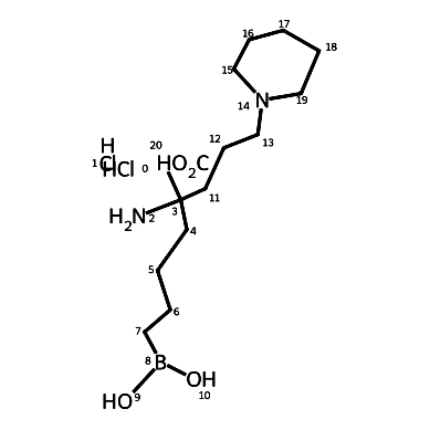 Cl.Cl.NC(CCCCB(O)O)(CCCN1CCCCC1)C(=O)O